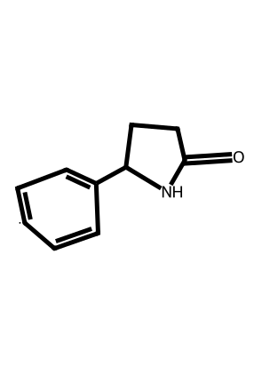 O=C1CCC(c2cc[c]cc2)N1